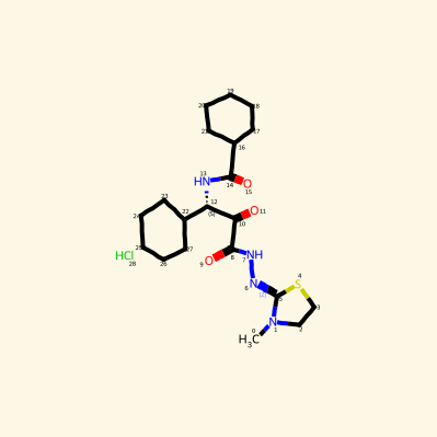 CN1CCS/C1=N\NC(=O)C(=O)[C@@H](NC(=O)C1CCCCC1)C1CCCCC1.Cl